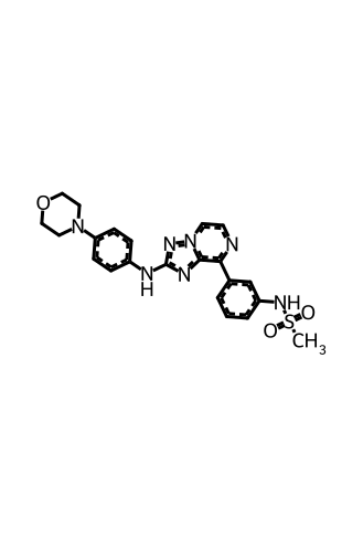 CS(=O)(=O)Nc1cccc(-c2nccn3nc(Nc4ccc(N5CCOCC5)cc4)nc23)c1